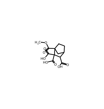 COC(=O)C12CCC(C1)C(C(=O)O)C2(C(=O)O)C(=O)O